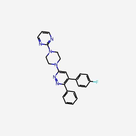 Fc1ccc(-c2cc(N3CCN(c4ncccn4)CC3)nnc2-c2ccccc2)cc1